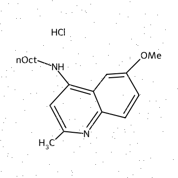 CCCCCCCCNc1cc(C)nc2ccc(OC)cc12.Cl